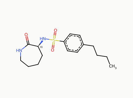 CCCCc1ccc(S(=O)(=O)N[C@H]2CCCCNC2=O)cc1